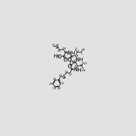 CCC(C)C(NC(=O)C(NC(=O)CCSCc1ccccc1)C(C)C)C(=O)NC(CCSC)C(=O)O